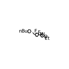 CCCC[C@H]1CC[C@H](CCc2ccc(-c3ccc(OCC)nn3)c(F)c2F)CC1